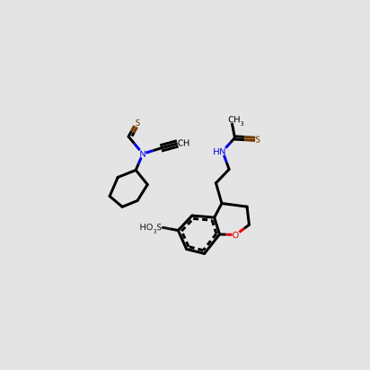 C#CN(C=S)C1CCCCC1.CC(=S)NCCC1CCOc2ccc(S(=O)(=O)O)cc21